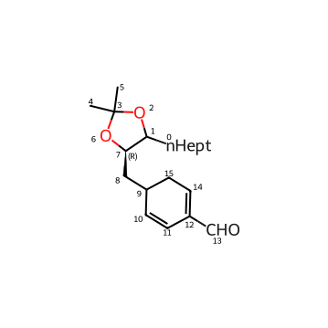 CCCCCCCC1OC(C)(C)O[C@@H]1CC1C=CC(C=O)=CC1